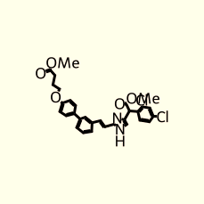 COC(=O)CCCOc1ccc(-c2cccc(/C=C/c3nc(C(C(=O)OC)c4ccc(Cl)cc4Cl)c[nH]3)c2)cc1